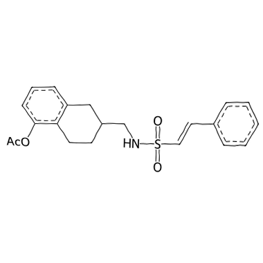 CC(=O)Oc1cccc2c1CCC(CNS(=O)(=O)C=Cc1ccccc1)C2